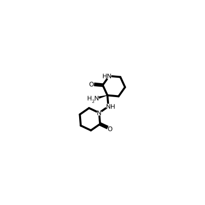 N[C@]1(NN2CCCCC2=O)CCCNC1=O